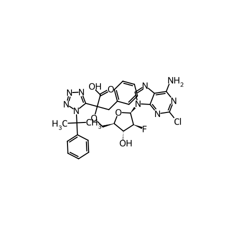 CC(C)(c1ccccc1)n1nnnc1C(Cc1ccccc1)(OC[C@H]1O[C@@H](n2cnc3c(N)nc(Cl)nc32)[C@@H](F)[C@@H]1O)C(=O)O